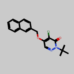 CC(C)(C)n1ncc(OCc2ccc3ccccc3c2)c(Cl)c1=O